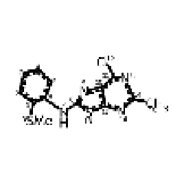 CSc1ccccc1Nc1nc2c(Cl)nc(C)nc2s1